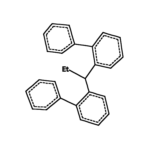 CCC(c1ccccc1-c1ccccc1)c1ccccc1-c1ccccc1